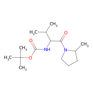 CC(C)C(NC(=O)OC(C)(C)C)C(=O)N1CCCC1C